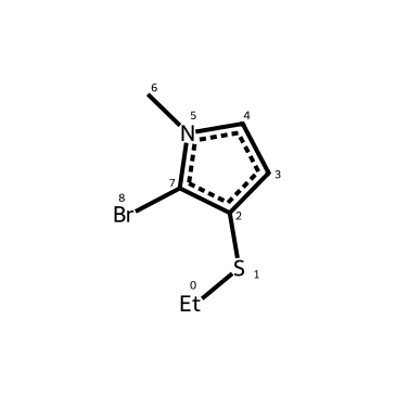 CCSc1ccn(C)c1Br